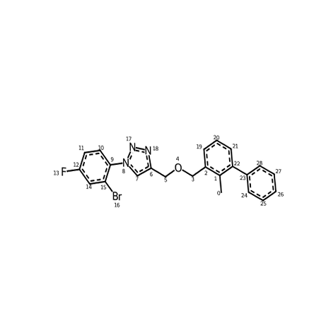 Cc1c(COCc2cn(-c3ccc(F)cc3Br)nn2)cccc1-c1ccccc1